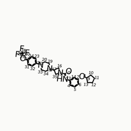 O=C(Nc1cccc(OC2CCCC2)c1)N1CC(N2CCN(c3ccc(OC(F)(F)F)cc3)CC2)C1